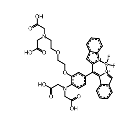 O=C(O)CN(CCOCCOc1cc(C2=C3c4ccccc4C=[N+]3[B-](F)(F)n3c2cc2ccccc23)ccc1N(CC(=O)O)CC(=O)O)CC(=O)O